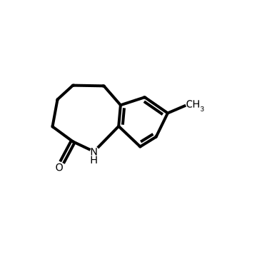 Cc1ccc2c(c1)CCCCC(=O)N2